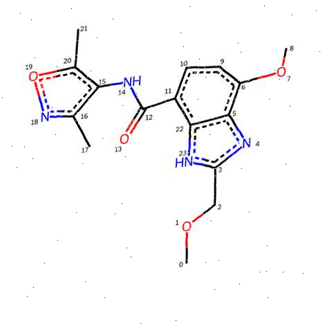 COCc1nc2c(OC)ccc(C(=O)Nc3c(C)noc3C)c2[nH]1